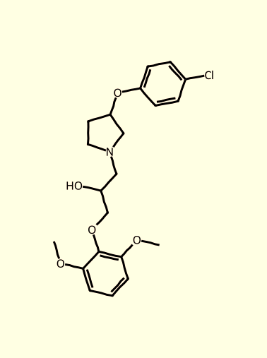 COc1cccc(OC)c1OCC(O)CN1CCC(Oc2ccc(Cl)cc2)C1